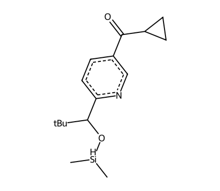 C[SiH](C)OC(c1ccc(C(=O)C2CC2)cn1)C(C)(C)C